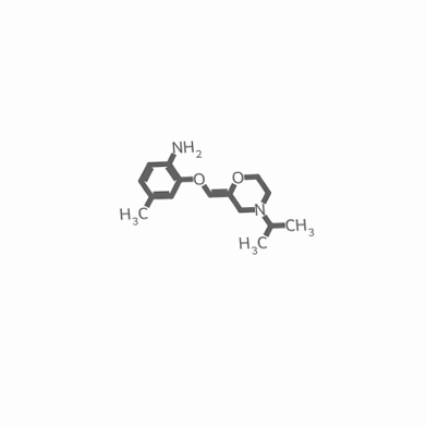 Cc1ccc(N)c(O/C=C2/CN(C(C)C)CCO2)c1